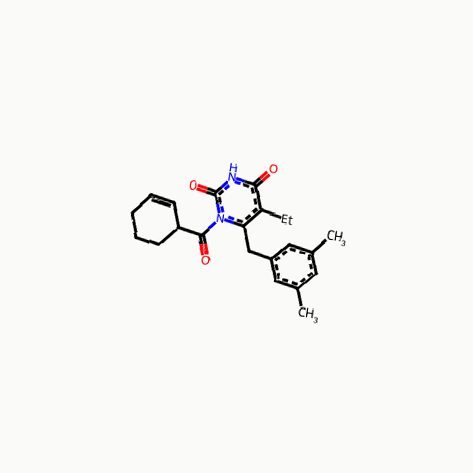 CCc1c(Cc2cc(C)cc(C)c2)n(C(=O)C2C=CCCC2)c(=O)[nH]c1=O